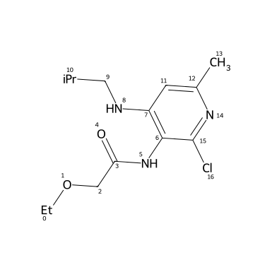 CCOCC(=O)Nc1c(NCC(C)C)cc(C)nc1Cl